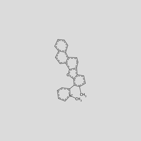 Cc1ccc2c(oc3c2ccc2c4ccccc4ccc23)c1-c1cccc[n+]1C